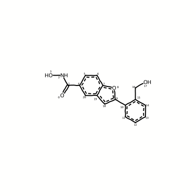 O=C(NO)c1ccc2oc(-c3ccccc3CO)cc2c1